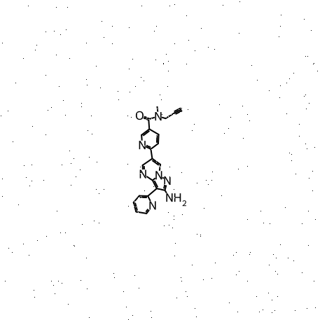 C#CCN(C)C(=O)c1ccc(-c2cnc3c(-c4ccccn4)c(N)nn3c2)nc1